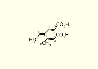 CC=CC(=O)O.CC=CC=CC(=O)O